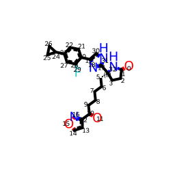 O=C1CC[C@@](CCCCCC(=O)c2ccon2)(c2nc(-c3ccc(C4CC4)cc3F)c[nH]2)N1